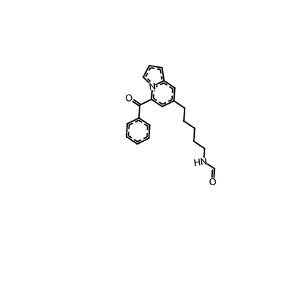 O=CNCCCCCc1cc(C(=O)c2ccccc2)n2cccc2c1